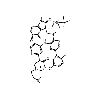 CN1CCN(CC(C(N)=O)c2cc(Nc3cc(-c4cc(Cl)ccc4F)nnc3N(C)CC3(CO[Si](C)(C)C(C)(C)C)C(=O)NC4=C3C(=O)C(=O)C=C4)ccn2)CC1